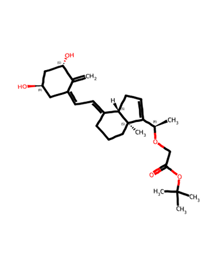 C=C1C(=CC=C2CCC[C@]3(C)C([C@@H](C)OCC(=O)OC(C)(C)C)=CC[C@@H]23)C[C@@H](O)C[C@@H]1O